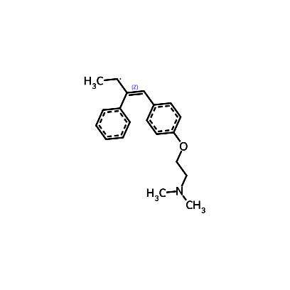 C[CH]/C(=C/c1ccc(OCCN(C)C)cc1)c1ccccc1